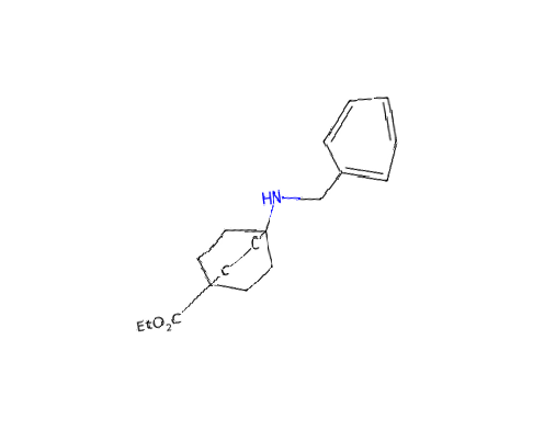 CCOC(=O)C12CCC(NCc3ccccc3)(CC1)CC2